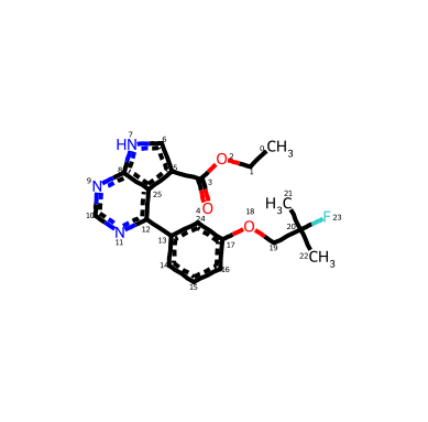 CCOC(=O)c1c[nH]c2ncnc(-c3cccc(OCC(C)(C)F)c3)c12